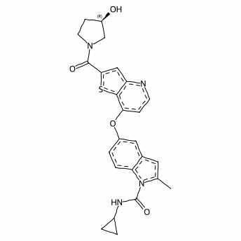 Cc1cc2cc(Oc3ccnc4cc(C(=O)N5CC[C@@H](O)C5)sc34)ccc2n1C(=O)NC1CC1